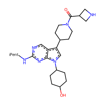 CCCC(C)Nc1ncc2c(C3CCN(C(=O)C4CNC4)CC3)cn(C3CCC(O)CC3)c2n1